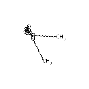 CCCCCCCCCCCCCCCCOCC(COC(=O)ON1C(=O)CCC1=O)OCCCCCCCCCCCCCCCC